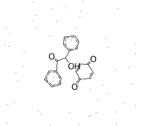 O=C(c1ccccc1)C(O)c1ccccc1.O=C1C=CC(=O)C=C1